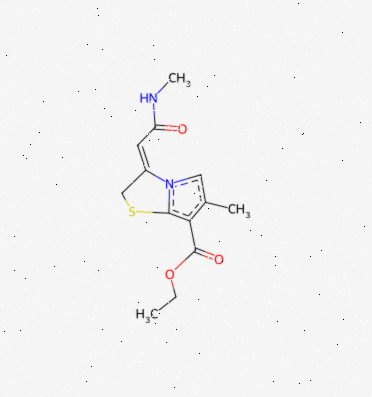 CCOC(=O)c1c(C)cn2c1SCC2=CC(=O)NC